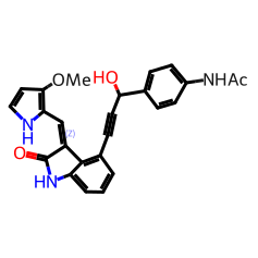 COc1cc[nH]c1/C=C1\C(=O)Nc2cccc(C#CC(O)c3ccc(NC(C)=O)cc3)c21